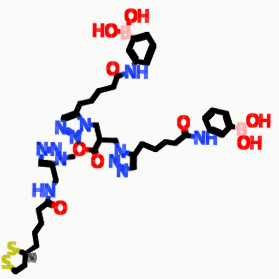 O=C(CCCC[C@H]1CCSS1)NCc1cnnn1COC(=O)C(Cn1nncc1CCCCC(=O)Nc1cccc(B(O)O)c1)Cn1nncc1CCCCC(=O)Nc1cccc(B(O)O)c1